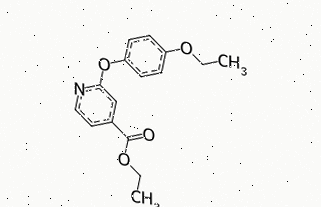 CCOC(=O)c1ccnc(Oc2ccc(OCC)cc2)c1